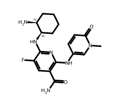 Cn1cc(Nc2nc(N[C@@H]3CCCC[C@@H]3N)c(F)cc2C(N)=O)ccc1=O